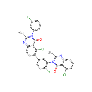 CC(C)(C)c1nc2ccc(-c3ccc(F)c(-n4c(C(C)(C)C)nc5cccc(Cl)c5c4=O)c3)c(Cl)c2c(=O)n1-c1cccc(F)c1